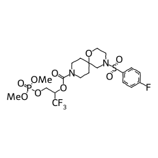 COP(=O)(OC)OCC(OC(=O)N1CCC2(CC1)CN(S(=O)(=O)c1ccc(F)cc1)CCO2)C(F)(F)F